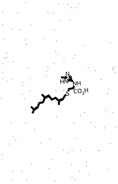 CC(C)=CCCC(C)=CCCC(C)=CCSCC(Nc1cnc(C)[nH]1)C(=O)O